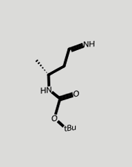 C[C@H](CC=N)NC(=O)OC(C)(C)C